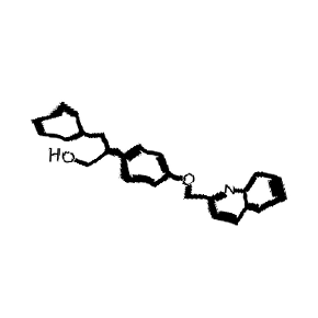 OCC(CC1CCCCC1)c1ccc(OCc2ccc3ccccc3n2)cc1